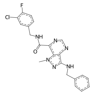 Cn1nc(NCc2ccccc2)c2ncnc(C(=O)NCc3ccc(F)c(Cl)c3)c21